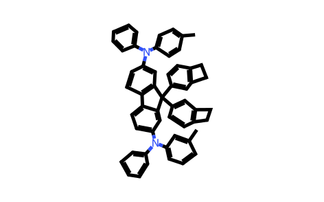 Cc1ccc(N(c2ccccc2)c2ccc3c(c2)C(c2ccc4c(c2)CC4)(c2ccc4c(c2)CC4)c2cc(N(c4ccccc4)c4cccc(C)c4)ccc2-3)cc1